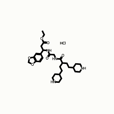 CCOC(=O)CC(NC(=O)CNC(=O)C(CCC1CCNCC1)CCC1CCNCC1)c1ccc2c(c1)OCO2.Cl